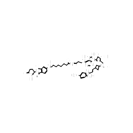 CC(C)N(CC1OC(n2cnc3c(NCCCCNC(=O)CCCCCCCNc4ccc5c(c4)C(=O)N(C4CCC(=O)NC4=O)C5=O)ncnc32)C(O)C1O)C1CC(CCc2nc3cc(C(C)(C)C)ccc3[nH]2)C1